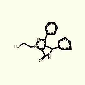 O=C1NC(c2ccccc2)c2c(-c3ccccc3)nn(CCO)c21